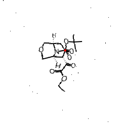 CCOC(=O)C(=O)[C@H]1C(=O)C[C@@H]2COC[C@H]1N2C(=O)OC(C)(C)C